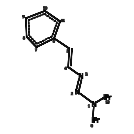 CC(C)N(N=NC=Cc1ccccc1)C(C)C